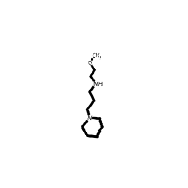 COCCNCCCN1CCCCC1